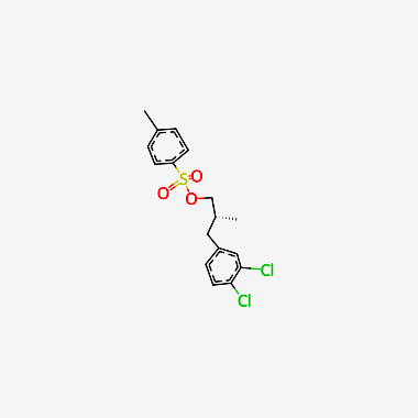 Cc1ccc(S(=O)(=O)OC[C@H](C)Cc2ccc(Cl)c(Cl)c2)cc1